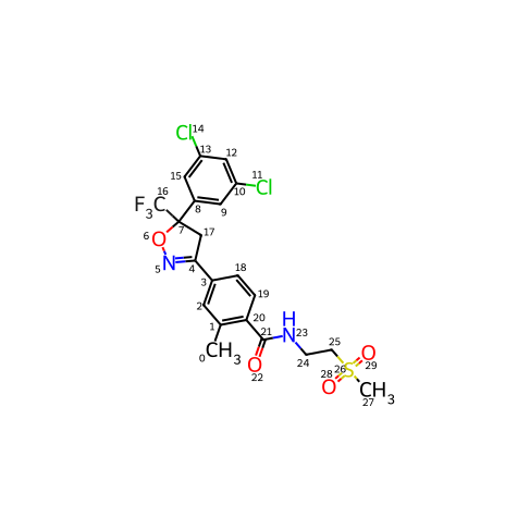 Cc1cc(C2=NOC(c3cc(Cl)cc(Cl)c3)(C(F)(F)F)C2)ccc1C(=O)NCCS(C)(=O)=O